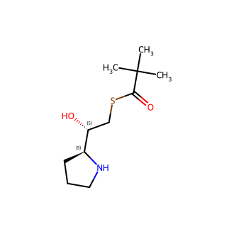 CC(C)(C)C(=O)SC[C@@H](O)[C@@H]1CCCN1